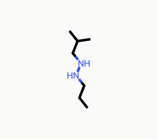 CCCNNCC(C)C